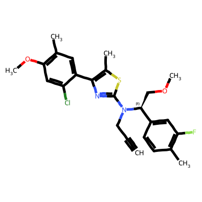 C#CCN(c1nc(-c2cc(C)c(OC)cc2Cl)c(C)s1)[C@@H](COC)c1ccc(C)c(F)c1